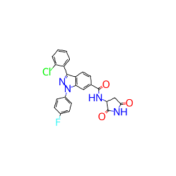 O=C1CC(NC(=O)c2ccc3c(-c4ccccc4Cl)nn(-c4ccc(F)cc4)c3c2)C(=O)N1